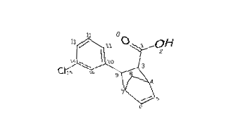 O=C(O)C1C2C=CC(C2)C1c1cccc(Cl)c1